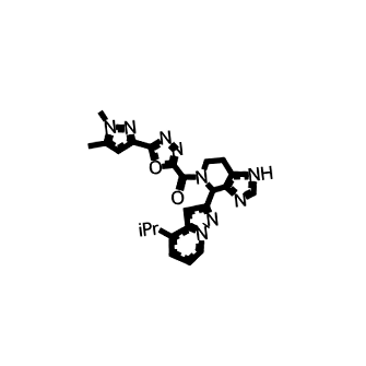 Cc1cc(-c2nnc(C(=O)N3CCc4[nH]cnc4C3c3cc4c(C(C)C)cccn4n3)o2)nn1C